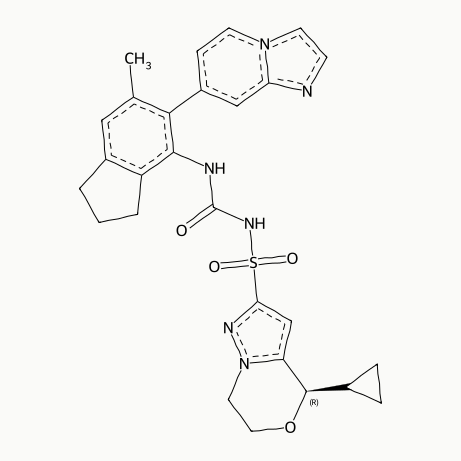 Cc1cc2c(c(NC(=O)NS(=O)(=O)c3cc4n(n3)CCO[C@@H]4C3CC3)c1-c1ccn3ccnc3c1)CCC2